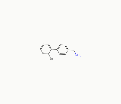 CC(=O)c1ccccc1-c1ccc(CN)cc1